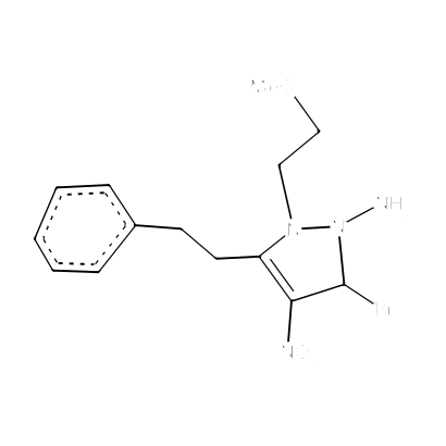 COCCN1C(CCc2ccccc2)=C([N+](=O)[O-])C(Br)N1N